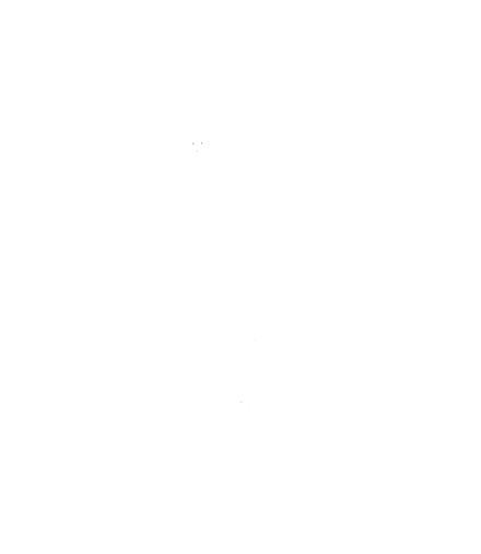 CSCCCOC(=O)CC(C)=O